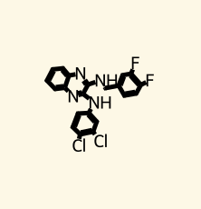 Fc1ccc(CNc2nc3ccccc3nc2Nc2ccc(Cl)c(Cl)c2)cc1F